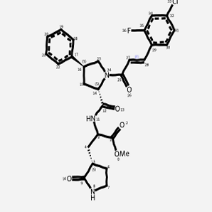 COC(=O)C(C[C@@H]1CCNC1=O)NC(=O)[C@@H]1C[C@@H](c2ccccc2)CN1C(=O)/C=C/c1ccc(Cl)cc1F